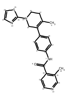 CC1=C(c2ccc(NC(=O)c3ccncc3C)cc2)CN(c2nccs2)CC1